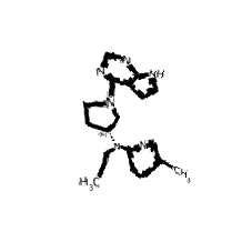 CCCN(c1ccc(C)cn1)[C@@H]1CCN(c2ncnc3[nH]ccc23)C1